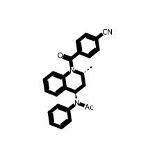 CC(=O)N(c1ccccc1)[C@H]1C[C@@H](C)N(C(=O)c2ccc(C#N)cc2)c2ccccc21